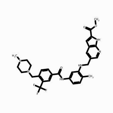 COC(=O)c1cc2cc(CNc3cc(NC(=O)c4ccc(CN5CCN(C)CC5)c(C(F)(F)F)c4)ccc3C)cnc2[nH]1